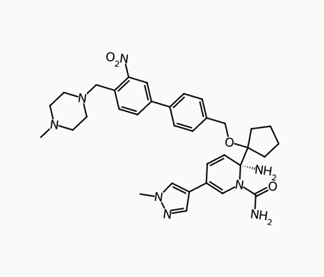 CN1CCN(Cc2ccc(-c3ccc(COC4([C@]5(N)C=CC(c6cnn(C)c6)=CN5C(N)=O)CCCC4)cc3)cc2[N+](=O)[O-])CC1